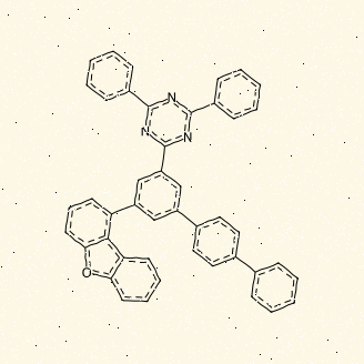 c1ccc(-c2ccc(-c3cc(-c4nc(-c5ccccc5)nc(-c5ccccc5)n4)cc(-c4cccc5oc6ccccc6c45)c3)cc2)cc1